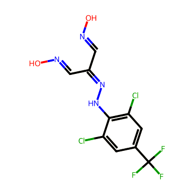 ON=CC(C=NO)=NNc1c(Cl)cc(C(F)(F)F)cc1Cl